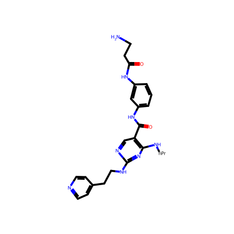 CCCNc1nc(NCCc2ccncc2)ncc1C(=O)Nc1cccc(NC(=O)CCN)c1